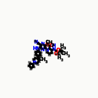 COC(=O)C1C(NC(=O)OC(C)(C)C)CCCN1c1cnc(C#N)c(Nc2ccc(C3(C)CCN(C4CCCC4)CC3)cc2)n1